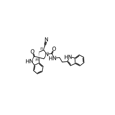 N#C[C@@H]1C[C@@]2(CN1C(=O)NCCc1cc3ccccc3[nH]1)C(=O)Nc1ccccc12